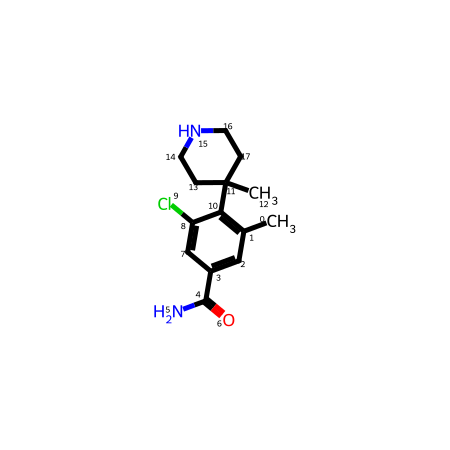 Cc1cc(C(N)=O)cc(Cl)c1C1(C)CCNCC1